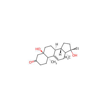 CC[C@]1(O)CC[C@H]2[C@@H]3CC[C@@]4(O)CC(=O)CC[C@]4(C)C3=CC[C@@]21C